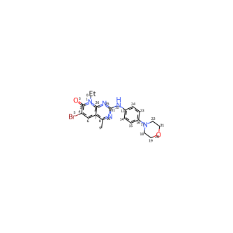 CCn1c(=O)c(Br)cc2c(C)nc(Nc3ccc(N4CCOCC4)cc3)nc21